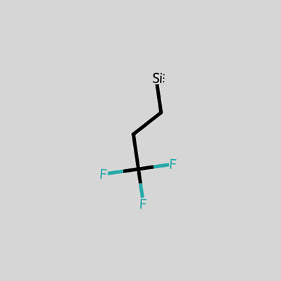 FC(F)(F)CC[Si]